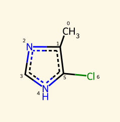 Cc1nc[nH]c1Cl